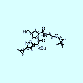 CC(C)(C)[C@@H](C(=O)N1CC(O)CC1C(=O)NCCOC1CC1(F)F)n1cc(C2CC2)nn1